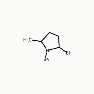 CCC1CCC(C)N1C(C)C